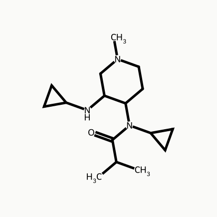 CC(C)C(=O)N(C1CC1)C1CCN(C)CC1NC1CC1